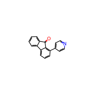 O=C1c2ccccc2-c2cccc(-c3ccncc3)c21